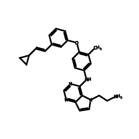 Cc1cc(Nc2ncnc3ccn(CCN)c23)ccc1Oc1cccc(C=CC2CC2)c1